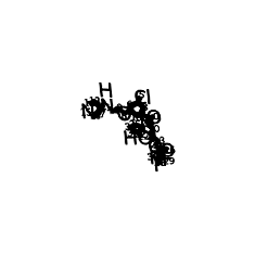 O=C(c1cc(Cl)cc(OCCNc2ccncc2)c1)N(CC(O)COC(=O)C(F)(F)F)C1CCCC1